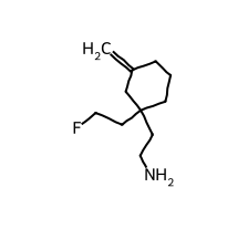 C=C1CCCC(CCN)(CCF)C1